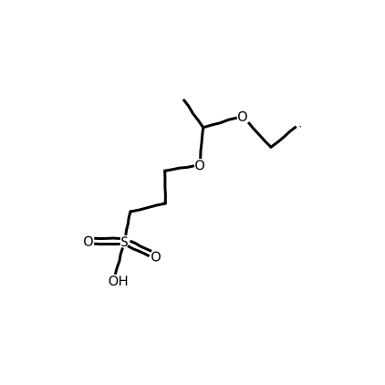 [CH2]COC(C)OCCCS(=O)(=O)O